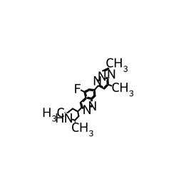 Cc1cn2nc(-c3cc(F)c4cc(C5C[C@@H](C)N[C@@H](C)C5)nnc4c3)cc(C)c2n1